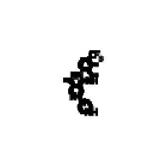 Cc1c(C(C)Nc2nnc(C)c3cnc(N4CCNCC4)cc23)cccc1C(F)(F)F